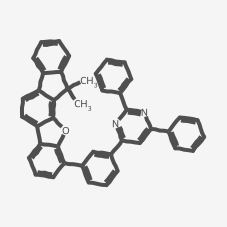 CC1(C)c2ccccc2-c2ccc3c(oc4c(-c5cccc(-c6cc(-c7ccccc7)nc(-c7ccccc7)n6)c5)cccc43)c21